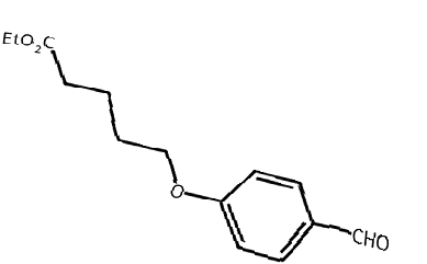 CCOC(=O)CCCCOc1ccc(C=O)cc1